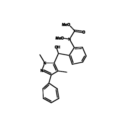 COC(=O)N(OC)c1ccccc1C(O)c1c(C)c(-c2ccccc2)nn1C